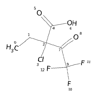 CCC(Cl)(C(=O)O)C(=O)C(F)(F)F